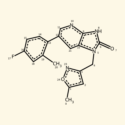 Cc1cc(Cn2c(=O)[nH]c3ncc(-c4ccc(F)cc4C)cc32)no1